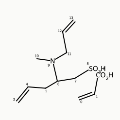 C=CC(=O)O.C=CCC(CS(=O)(=O)O)N(C)CC=C